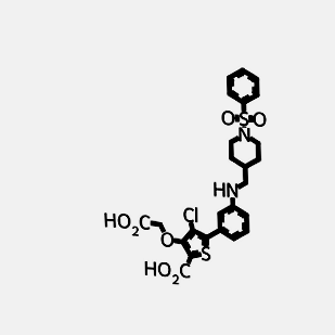 O=C(O)COc1c(C(=O)O)sc(-c2cccc(NCC3CCN(S(=O)(=O)c4ccccc4)CC3)c2)c1Cl